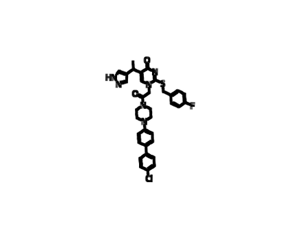 CC(c1cn[nH]c1)c1cn(CC(=O)N2CCN(c3ccc(-c4ccc(Cl)cc4)cc3)CC2)c(SCc2ccc(F)cc2)nc1=O